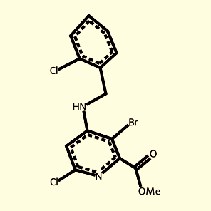 COC(=O)c1nc(Cl)cc(NCc2ccccc2Cl)c1Br